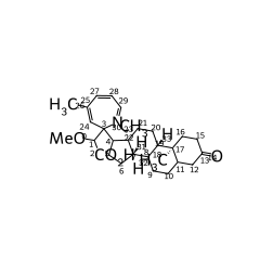 COC(C(=O)O)C1(C2CC[C@H]3[C@@H]4CCC5CC(=O)CC[C@]5(C)[C@H]4CC[C@]23C)C=C(C)C=CC=N1